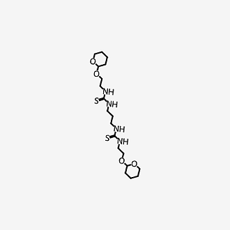 S=C(NCCCNC(=S)NCCOC1CCCCO1)NCCOC1CCCCO1